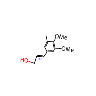 COc1cc(/C=C/CO)cc(C)c1OC